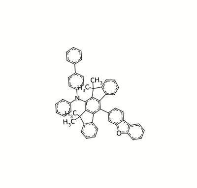 CC1(C)c2ccccc2-c2c(-c3ccc4c(c3)oc3ccccc34)c3c(c(N(c4ccccc4)c4ccc(-c5ccccc5)cc4)c21)C(C)(C)c1ccccc1-3